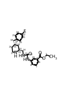 CCOC(=O)c1cccc(NC(=O)NC[C@@H]2C[C@@H](Cc3ccc(F)cc3)CCN2)c1